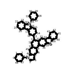 c1ccc(-n2ccc3cc4c(cc(-c5ccc6c(c5)c5ccccc5n6-c5ccccc5)c5cc6c(cc54)sc4ccccc46)cc32)cc1